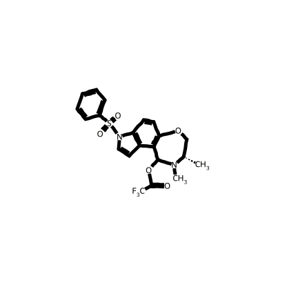 C[C@H]1COc2ccc3c(ccn3S(=O)(=O)c3ccccc3)c2C(OC(=O)C(F)(F)F)N1C